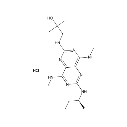 CC[C@H](C)Nc1nc(NC)c2nc(NCC(C)(C)O)nc(NC)c2n1.Cl